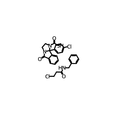 O=C(CCCl)NCc1ccccc1.O=C(S)N1CCN2C(=O)c3ccccc3C12c1ccc(Cl)cc1